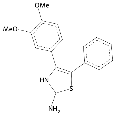 COc1ccc(C2=C(c3ccccc3)SC(N)N2)cc1OC